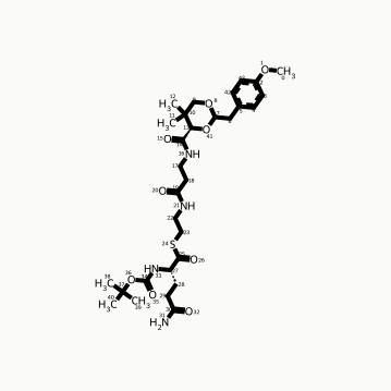 COc1ccc(CC2OCC(C)(C)[C@H](C(=O)NCCC(=O)NCCSC(=O)[C@H](CCC(N)=O)NC(=O)OC(C)(C)C)O2)cc1